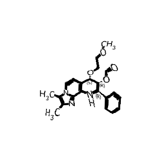 COCCO[C@H]1c2ccn3c(C)c(C)nc3c2N[C@H](c2ccccc2)[C@H]1OC=O